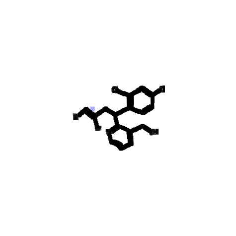 OCc1cccnc1C(C/C(Br)=C/Br)c1ccc(Cl)cc1Cl